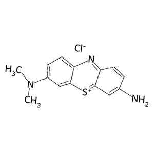 CN(C)c1ccc2nc3ccc(N)cc3[s+]c2c1.[Cl-]